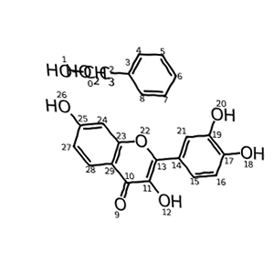 CO.O=C(O)c1ccccc1.O=c1c(O)c(-c2ccc(O)c(O)c2)oc2cc(O)ccc12